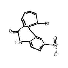 O=c1[nH]c2ccc([N+](=O)[O-])cc2c2c(Br)cccc12